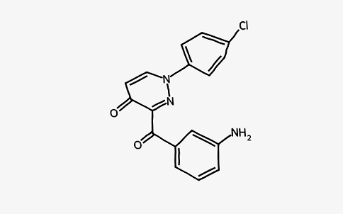 Nc1cccc(C(=O)c2nn(-c3ccc(Cl)cc3)ccc2=O)c1